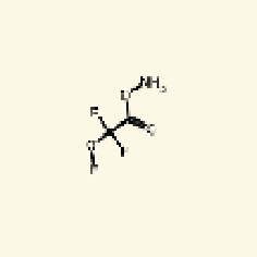 NOC(=O)C(F)(F)OF